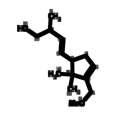 COCC1=CCC(C=CC(C)CO)C1(C)C